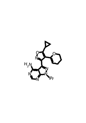 CC(C)n1nc(-c2noc(C3CC3)c2C2=CCCCO2)c2c(N)ncnc21